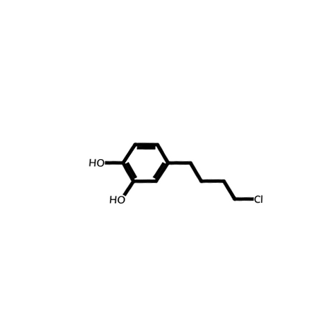 Oc1ccc(CCCCCl)cc1O